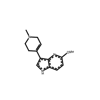 COc1ccc2[nH]cc(C3=CCN(C)CC3)c2n1